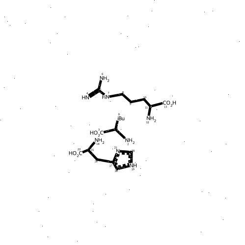 CCC(C)C(N)C(=O)O.N=C(N)NCCCC(N)C(=O)O.NC(Cc1c[nH]cn1)C(=O)O